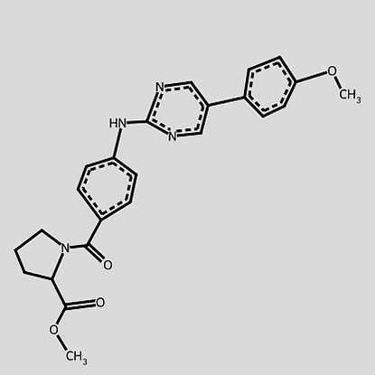 COC(=O)C1CCCN1C(=O)c1ccc(Nc2ncc(-c3ccc(OC)cc3)cn2)cc1